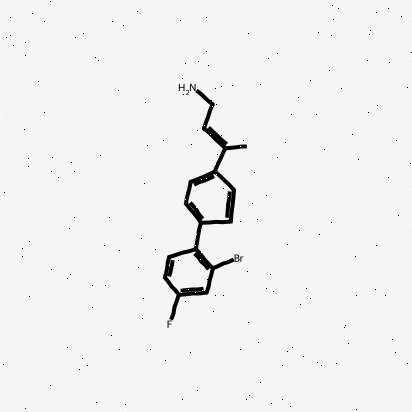 CC(=CCN)c1ccc(-c2ccc(F)cc2Br)cc1